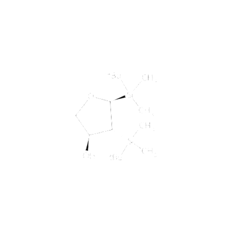 CC(C)(C)[Si](C)(C)[C@H]1[C@H]([Si](C)(C)C(C)(C)C)OC[C@@H]1O